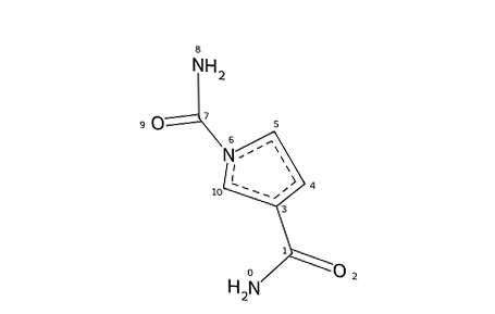 NC(=O)c1ccn(C(N)=O)c1